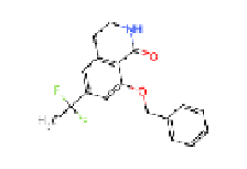 CC(F)(F)c1cc2c(c(OCc3ccccc3)c1)C(=O)NCC2